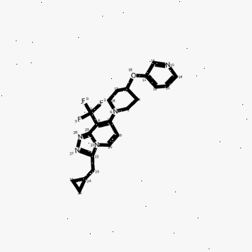 FC(F)(F)c1c(N2CCC(Oc3cccnc3)CC2)ccn2c(CC3CC3)nnc12